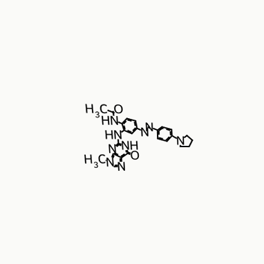 CC(=O)Nc1ccc(/N=N/c2ccc(N3CCCC3)cc2)cc1Nc1nc2c(ncn2C)c(=O)[nH]1